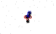 Cn1c(N2CCOC[C@H]2COCc2ccccc2)nc(-c2ccncn2)cc1=O